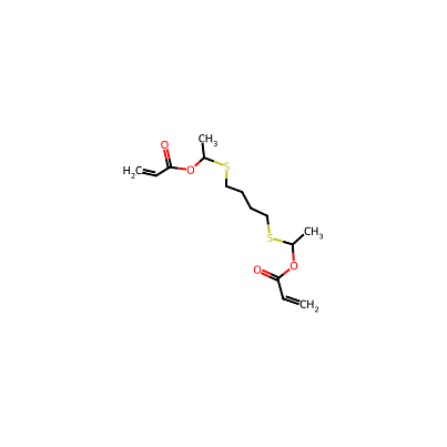 C=CC(=O)OC(C)SCCCCSC(C)OC(=O)C=C